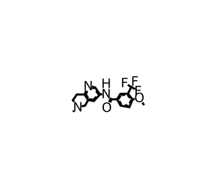 COc1ccc(C(=O)Nc2cnc3c(c2)CN(C)CC3)cc1C(F)(F)F